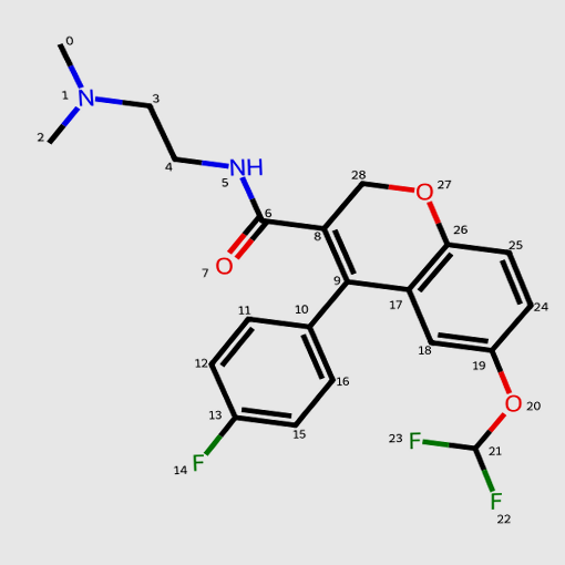 CN(C)CCNC(=O)C1=C(c2ccc(F)cc2)c2cc(OC(F)F)ccc2OC1